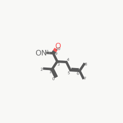 C=C(C)C(CC=C(C)C)C(=O)N=O